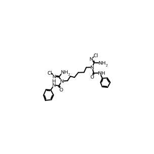 NC(=NCl)N(CCCCCCN(C(=O)Nc1ccccc1)C(N)=NCl)C(=O)Nc1ccccc1